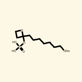 CCCCCCCCCCCCCCCCCC1(OP(=O)(O)O)CCO1